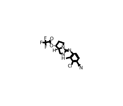 Cc1c(/N=C2\NC[C@@H]3[C@H](OC(=O)C(F)(F)F)CCN23)ccc(C#N)c1Cl